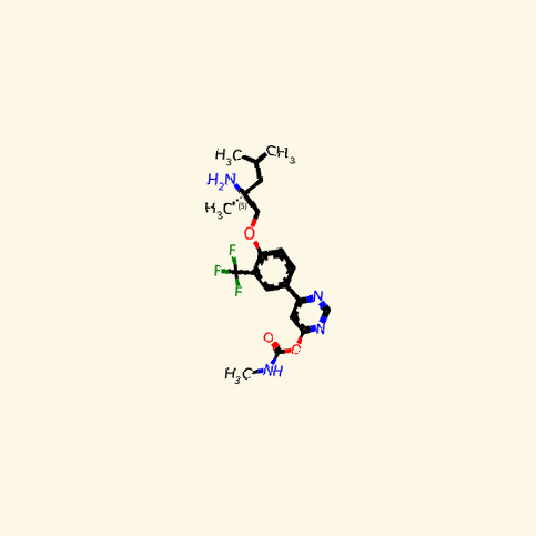 CNC(=O)Oc1cc(-c2ccc(OC[C@@](C)(N)CC(C)C)c(C(F)(F)F)c2)ncn1